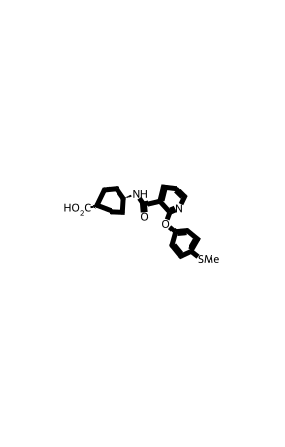 CSc1ccc(Oc2ncccc2C(=O)N[C@H]2CC[C@@H](C(=O)O)CC2)cc1